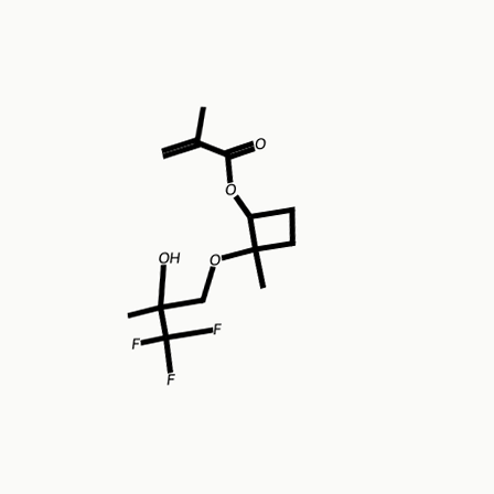 C=C(C)C(=O)OC1CCC1(C)OCC(C)(O)C(F)(F)F